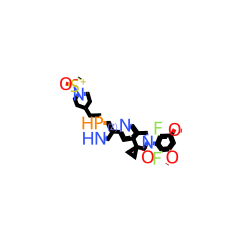 COc1cc(OC)c(F)c(N2Cc3cnc(/C(C=N)=C/PCCC4CCN([S+](C)[O-])CC4)cc3C3(CC3)C2=O)c1F